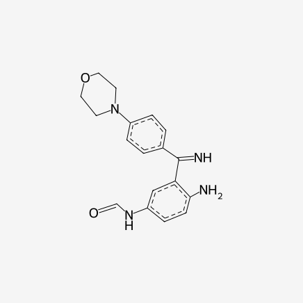 N=C(c1ccc(N2CCOCC2)cc1)c1cc(NC=O)ccc1N